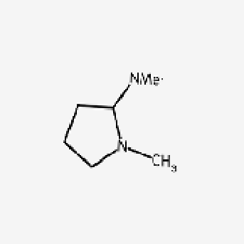 C[N]C1CCCN1C